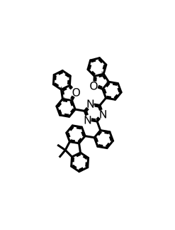 CC1(C)c2ccccc2-c2c(-c3ccccc3-c3nc(-c4cccc5c4oc4ccccc45)nc(-c4cccc5c4oc4ccccc45)n3)cccc21